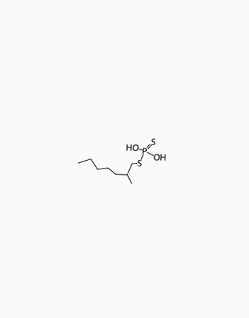 CCCCCC(C)CSP(O)(O)=S